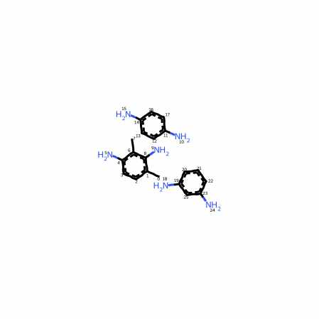 Cc1ccc(N)c(C)c1N.Nc1ccc(N)cc1.Nc1cccc(N)c1